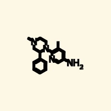 Cc1cc(N)cnc1N1CCN(C)CC1c1ccccc1